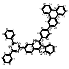 c1ccc(-c2nc(-c3ccccc3)nc(-c3ccc4c(c3)nc(-c3ccc(-c5ccc6c7ccccc7c7ccccc7c6c5)cc3)c3c5ccccc5sc43)n2)cc1